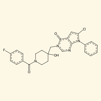 O=C(c1ccc(F)cc1)N1CCC(O)(Cn2cnc3c(cc(Cl)n3-c3ccccc3)c2=O)CC1